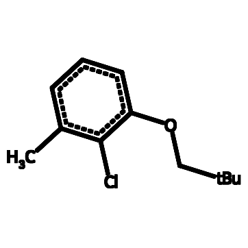 Cc1cccc(OCC(C)(C)C)c1Cl